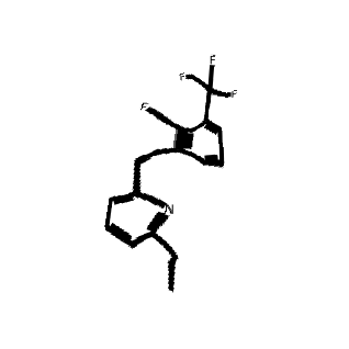 CCc1cccc(Cc2cccc(C(F)(F)F)c2F)n1